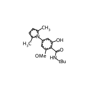 COc1cc(-n2c(C)ccc2C)cc(O)c1C(=O)NC(C)(C)C